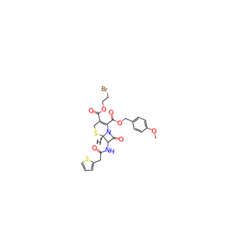 COc1ccc(COC(=O)C2=C(C(=O)OCCBr)CS[C@H]3C(NC(=O)Cc4cccs4)C(=O)N23)cc1